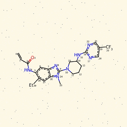 C=CC(=O)Nc1cc2nc(N3CCCC(Nc4ncc(C(F)(F)F)cn4)C3)n(C)c2cc1CC